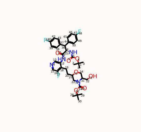 CC(C)(C)OC(=O)N[C@H](C(=O)Nc1cncc(F)c1CCC1CN(C(=O)OC(C)(C)C)C(CO)CO1)C(c1ccc(F)cc1)c1ccc(F)cc1